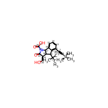 CC(C)(C)C1c2c(C#C[Si](C)(C)C)cccc2C2C1C(=CO)C(=O)N2C(=O)O